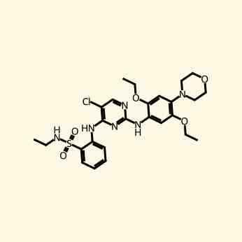 CCNS(=O)(=O)c1ccccc1Nc1nc(Nc2cc(OCC)c(N3CCOCC3)cc2OCC)ncc1Cl